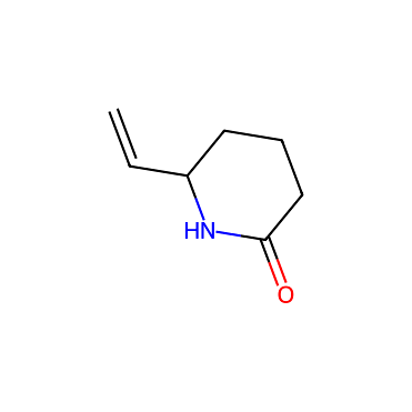 C=CC1CCCC(=O)N1